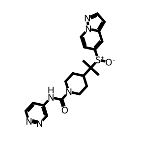 CC(C)(C1CCN(C(=O)Nc2ccnnc2)CC1)[S+]([O-])c1ccn2nccc2c1